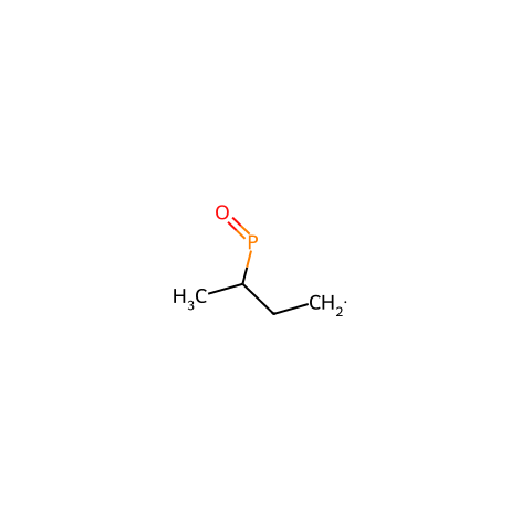 [CH2]CC(C)P=O